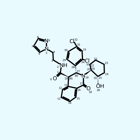 O=C(NCCn1cccn1)[C@@H]1c2ccccc2C(=O)N([C@H]2CCCC[C@@H]2O)[C@H]1c1ccc(Cl)cc1Cl